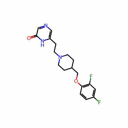 O=c1cncc(CCN2CCC(COc3ccc(F)cc3F)CC2)[nH]1